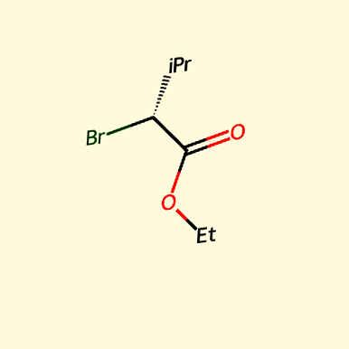 CCOC(=O)[C@H](Br)C(C)C